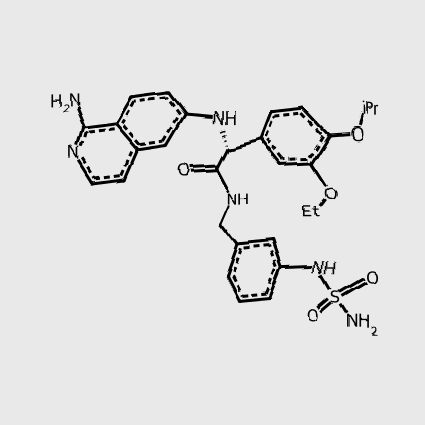 CCOc1cc([C@@H](Nc2ccc3c(N)nccc3c2)C(=O)NCc2cccc(NS(N)(=O)=O)c2)ccc1OC(C)C